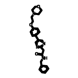 O=C(Cc1ncc(-c2ccc(OCCN3CCOCC3)cc2)cn1)NCc1ccccc1